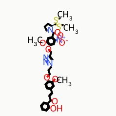 CCSC(SCC)[C@@H]1CCCN1C(=O)c1cc(OC)c(OCc2cn(CCCOc3ccc(/C=C/C(=O)c4ccccc4O)cc3OC)nn2)cc1[N+](=O)[O-]